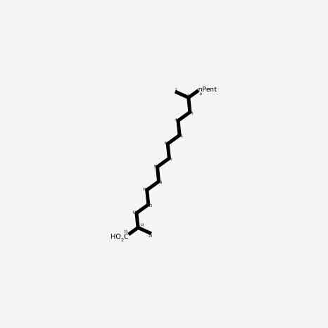 CCCCCC(C)CCCCCCCCCCC(C)C(=O)O